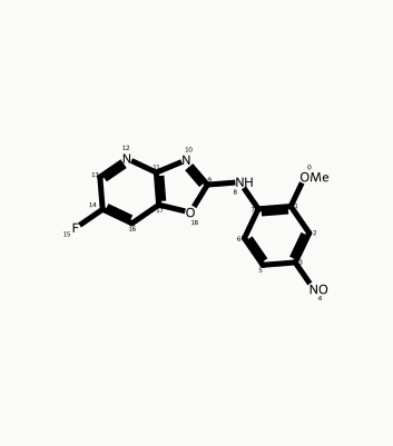 COc1cc(N=O)ccc1Nc1nc2ncc(F)cc2o1